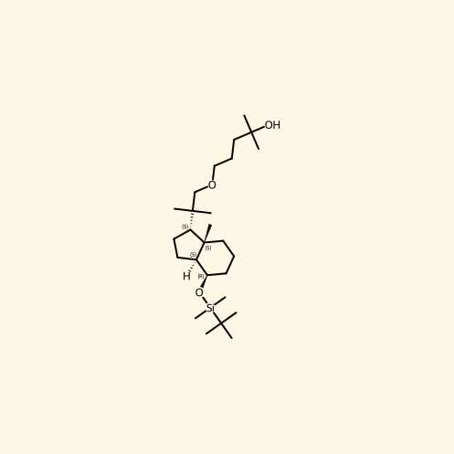 CC(C)(O)CCCOCC(C)(C)[C@H]1CC[C@@H]2[C@H](O[Si](C)(C)C(C)(C)C)CCC[C@]21C